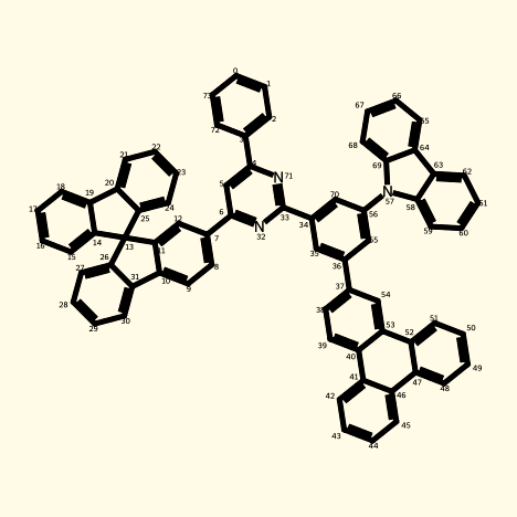 c1ccc(-c2cc(-c3ccc4c(c3)C3(c5ccccc5-c5ccccc53)c3ccccc3-4)nc(-c3cc(-c4ccc5c6ccccc6c6ccccc6c5c4)cc(-n4c5ccccc5c5ccccc54)c3)n2)cc1